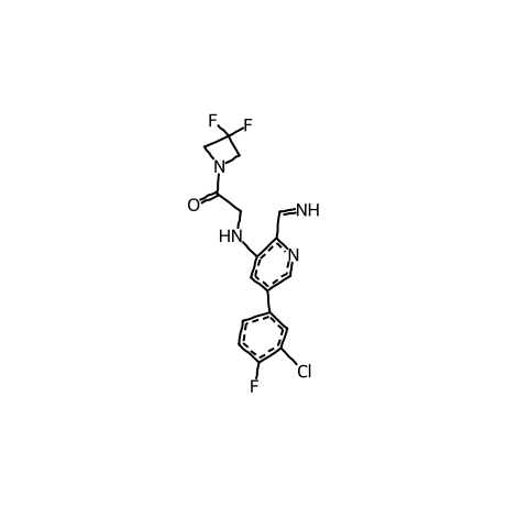 N=Cc1ncc(-c2ccc(F)c(Cl)c2)cc1NCC(=O)N1CC(F)(F)C1